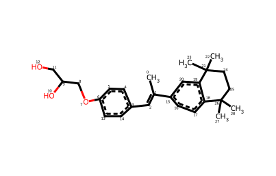 CC(=Cc1ccc(OCC(O)CO)cc1)c1ccc2c(c1)C(C)(C)CCC2(C)C